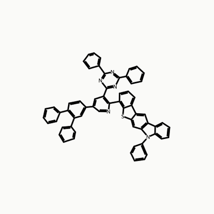 c1ccc(-c2nc(-c3ccccc3)nc(-c3cc(-c4ccc(-c5ccccc5)c(-c5ccccc5)c4)cnc3-c3cccc4c3sc3cc5c(cc34)c3ccccc3n5-c3ccccc3)n2)cc1